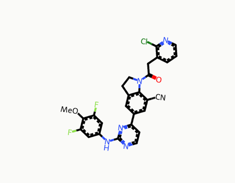 COc1c(F)cc(Nc2nccc(-c3cc(C#N)c4c(c3)CCN4C(=O)Cc3cccnc3Cl)n2)cc1F